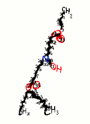 CCCCCC#CCOC(=O)CCCCCCCN(CCO)CCCCCCCC(=O)OC(CCCCCCCC)CCCCCCCC